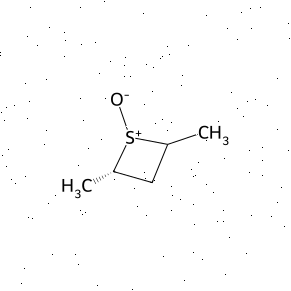 CC1C[C@H](C)[S+]1[O-]